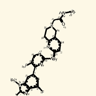 Cc1nc2c(F)cc(-c3nc(Nc4ccc5c(n4)CCN(CC(=O)NC(C)C)C5)ncc3F)cc2n1C(C)C